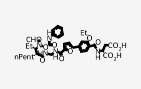 CCCCC[C@@H](C(=O)NCNC(=O)c1ccc(-c2ccc(C(=O)N[C@@H](CC(=O)O)C(=O)O)c(OCC)c2)o1)[C@@H](CC)N(C=O)OC(=O)Nc1ccccc1